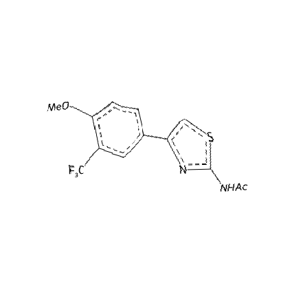 COc1ccc(-c2csc(NC(C)=O)n2)cc1C(F)(F)F